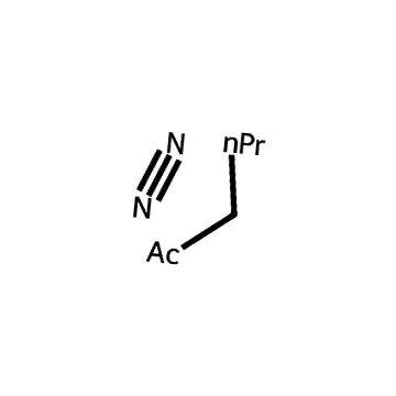 CCCCC(C)=O.N#N